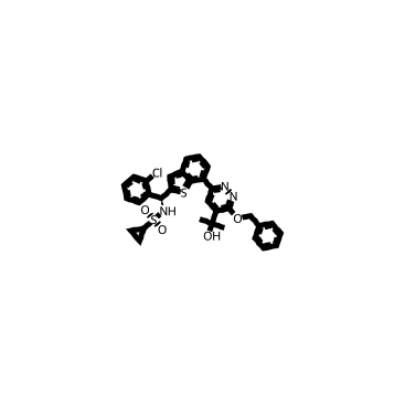 CC(C)(O)c1cc(-c2cccc3cc([C@H](NS(=O)(=O)C4CC4)c4ccccc4Cl)sc23)nnc1OCc1ccccc1